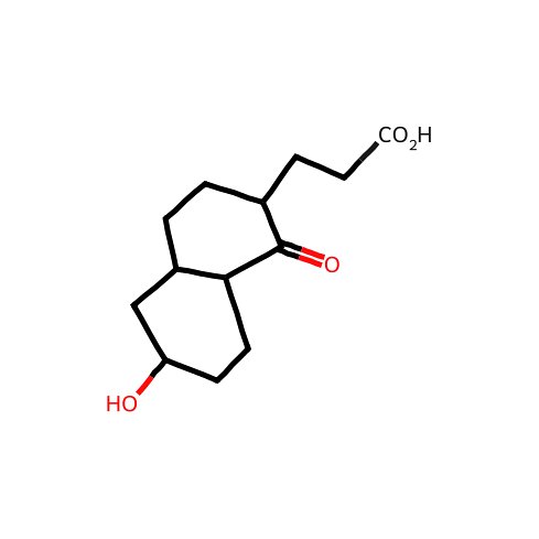 O=C(O)CCC1CCC2CC(O)CCC2C1=O